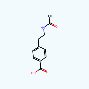 CC(=O)NCCc1ccc(C(=O)O)cc1